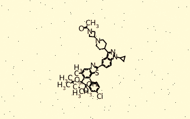 CC[C@@](OC(C)(C)C)(C(=O)O)c1c(C)cc2nc(-c3ccc4c(c3)c(C3CCN(C5CN(C(C)=O)C5)CC3)nn4C3CC3)sc2c1-c1ccc(Cl)cc1